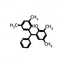 Cc1cc(C)cc(C(c2ccccc2)c2cc(C)cc(C)c2O)c1